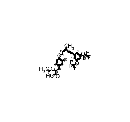 CCOC(Cc1ccc(OCC=C(C)C#Cc2cc(OC(F)(F)F)cc(OC(F)(F)F)c2)c(I)c1)C(=O)O